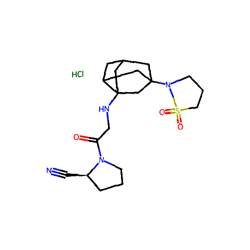 Cl.N#C[C@@H]1CCCN1C(=O)CNC12CC3CC1CC(N1CCCS1(=O)=O)(C3)C2